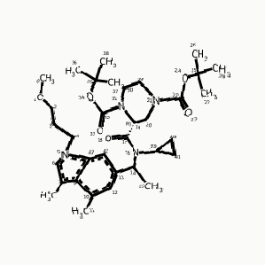 COCCCn1cc(C)c2c(C)cc(C(C)N(C(=O)[C@H]3CN(C(=O)OC(C)(C)C)CCN3C(=O)OC(C)(C)C)C3CC3)cc21